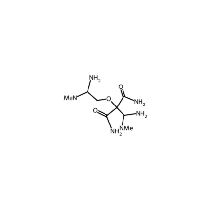 CNC(N)COC(C(N)=O)(C(N)=O)C(N)NC